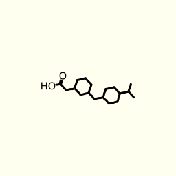 CC(C)C1CCC(CC2CCCC(CC(=O)O)C2)CC1